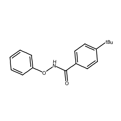 CC(C)(C)c1ccc(C(=O)NOc2ccccc2)cc1